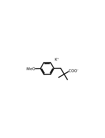 COc1ccc(CC(C)(C)C(=O)[O-])cc1.[K+]